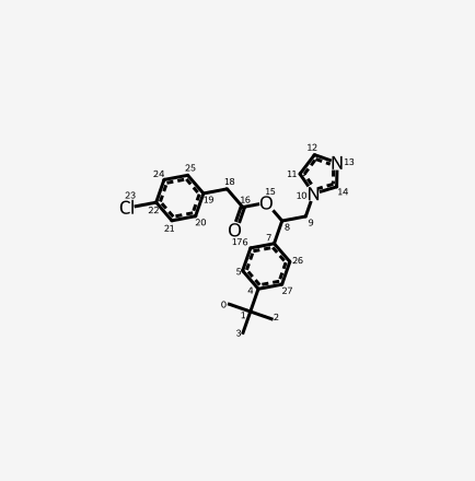 CC(C)(C)c1ccc(C(Cn2ccnc2)OC(=O)Cc2ccc(Cl)cc2)cc1